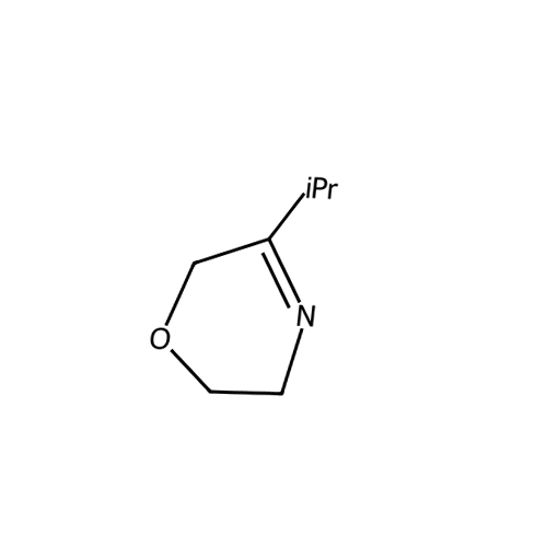 CC(C)C1=NCCOC1